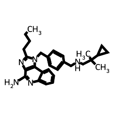 CCCCc1nc2c(N)nc3ccccc3c2n1Cc1ccc(CNCC(C)(C)C2CC2)cc1